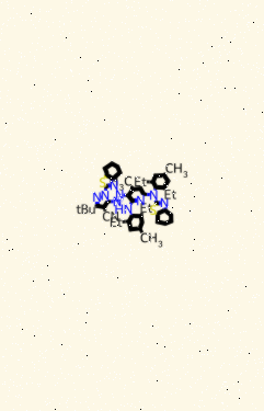 CCc1cc(C)cc(CC)c1Nc1nc(N(c2nc3ccccc3s2)c2c(CC)cc(C)cc2CC)cc(C)c1/N=N/c1c(C#N)c(C(C)(C)C)nn1-c1nc2ccccc2s1